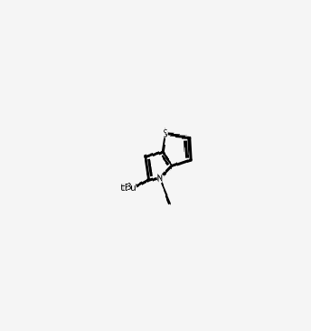 Cn1c(C(C)(C)C)cc2sccc21